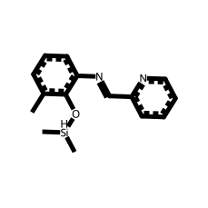 Cc1cccc(N=Cc2ccccn2)c1O[SiH](C)C